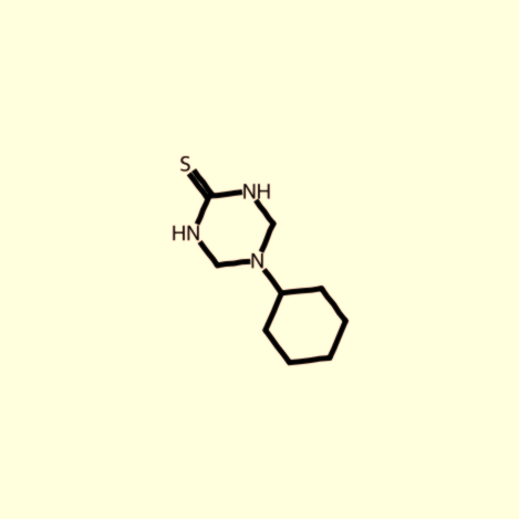 S=C1NCN(C2CCCCC2)CN1